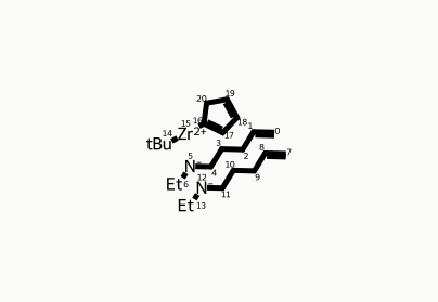 C=CCCC[N-]CC.C=CCCC[N-]CC.C[C](C)(C)[Zr+2][C]1=CC=CC1